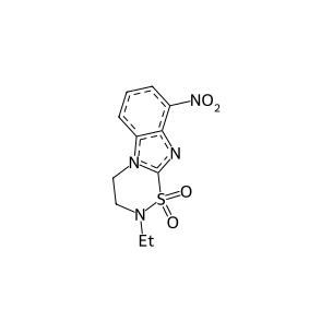 CCN1CCn2c(nc3c([N+](=O)[O-])cccc32)S1(=O)=O